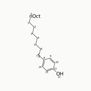 CCCCCCCCCCCCCCSc1ccc(O)cc1